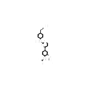 CC(C)C(=O)Nc1ccc(-c2ccnc(Nc3ccc(CCO)cc3)n2)cc1N